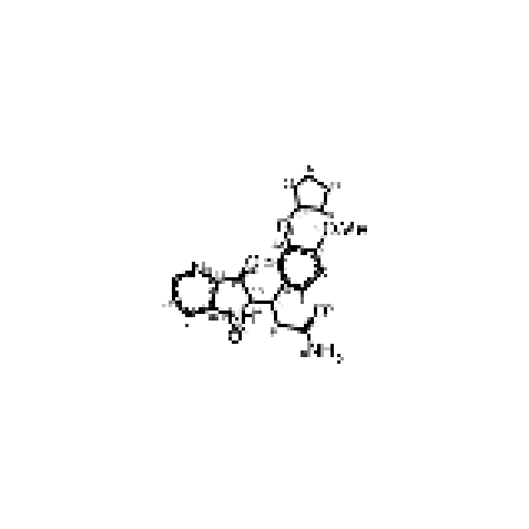 COc1ccc(C(CC(N)=O)C2C(=O)c3ncccc3[NH+]2[O-])cc1OC1CCCC1